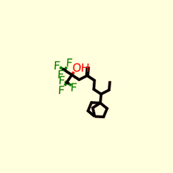 C=C(CCC(CC)C12CCC(CC1)C2)CC(O)(C(F)(F)F)C(F)(F)F